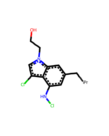 CC(C)Cc1cc(NCl)c2c(Cl)cn(CCO)c2c1